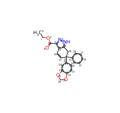 CCOC(=O)c1n[nH]c2c1C=CC(c1ccccc1)(c1ccc3c(c1)OCO3)C2